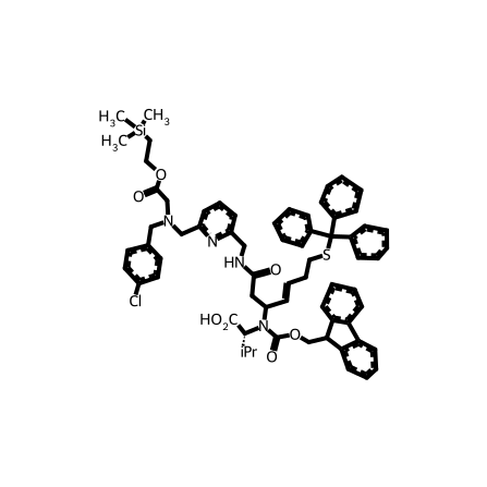 CC(C)[C@H](C(=O)O)N(C(=O)OCC1c2ccccc2-c2ccccc21)C(/C=C/CCSC(c1ccccc1)(c1ccccc1)c1ccccc1)CC(=O)NCc1cccc(CN(CC(=O)OCC[Si](C)(C)C)Cc2ccc(Cl)cc2)n1